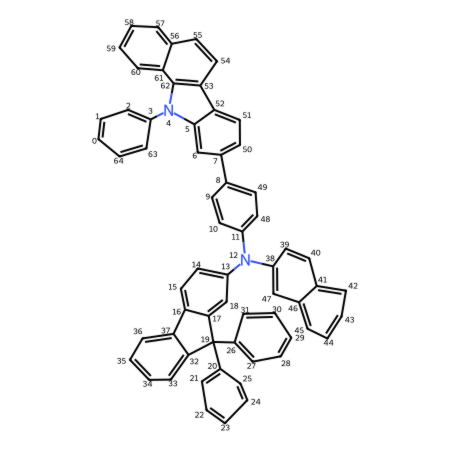 c1ccc(-n2c3cc(-c4ccc(N(c5ccc6c(c5)C(c5ccccc5)(c5ccccc5)c5ccccc5-6)c5ccc6ccccc6c5)cc4)ccc3c3ccc4ccccc4c32)cc1